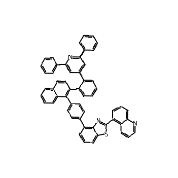 c1ccc(-c2cc(-c3ccccc3-c3ccc4ccccc4c3-c3ccc(-c4cccc5sc(-c6cccc7ncccc67)nc45)cc3)cc(-c3ccccc3)n2)cc1